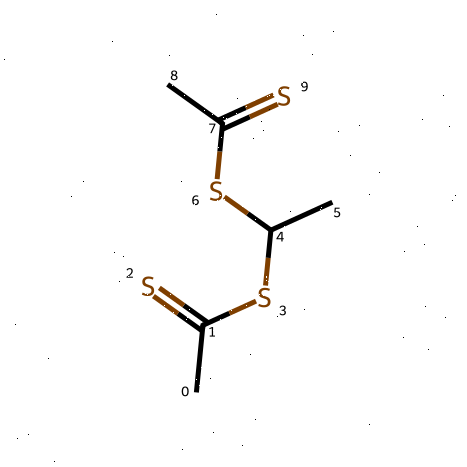 CC(=S)SC(C)SC(C)=S